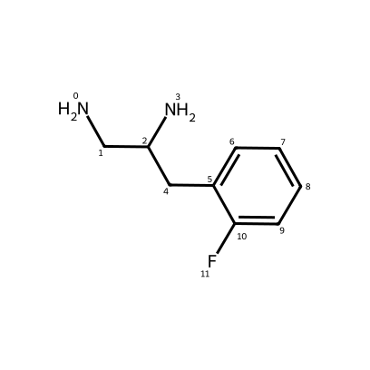 NCC(N)Cc1ccccc1F